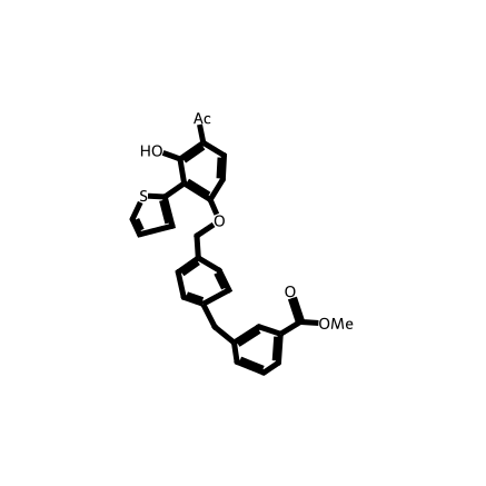 COC(=O)c1cccc(Cc2ccc(COc3ccc(C(C)=O)c(O)c3-c3cccs3)cc2)c1